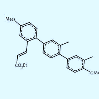 CCOC(=O)/C=C/c1cc(OC)ccc1-c1ccc(-c2ccc(OC)c(C)c2)c(C)c1